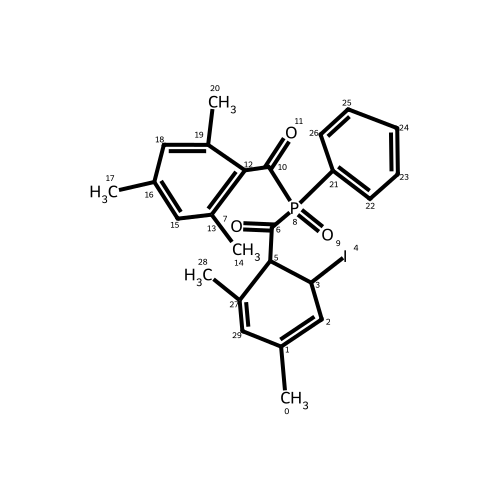 CC1=CC(I)C(C(=O)P(=O)(C(=O)c2c(C)cc(C)cc2C)c2ccccc2)C(C)=C1